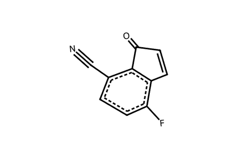 N#Cc1ccc(F)c2c1C(=O)C=C2